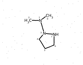 CN(C)N1CCCN1